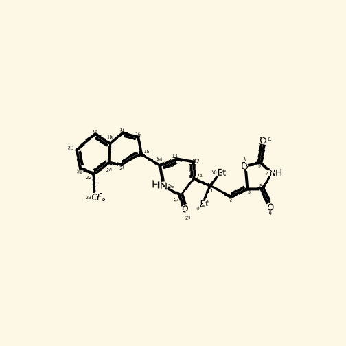 CCC(C=C1OC(=O)NC1=O)(CC)c1ccc(-c2ccc3cccc(C(F)(F)F)c3c2)[nH]c1=O